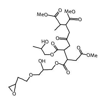 COC(=O)CC(C(=O)OCC(O)COCCC1CO1)C(CC(=O)CC(C(=O)OC)C(C)C(=O)OC)C(=O)OCC(C)O